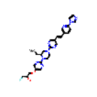 COC[C@H]1CN(c2ncc(/C=C/c3ccc(-n4ccnc4)nc3)cn2)CCN1c1ncc(OCC(O)CF)cn1